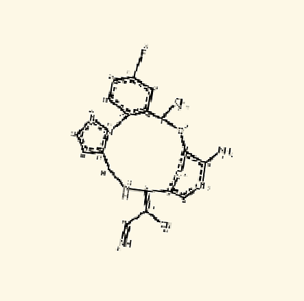 CC1Oc2cc(cnc2N)/C(=C(\C#N)C=N)NCc2ccnn2-c2ccc(F)cc21